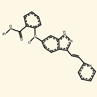 CC(C)NC(=O)c1ccccc1[S+]([O-])c1ccc2c(/C=C/c3ccccn3)n[nH]c2c1